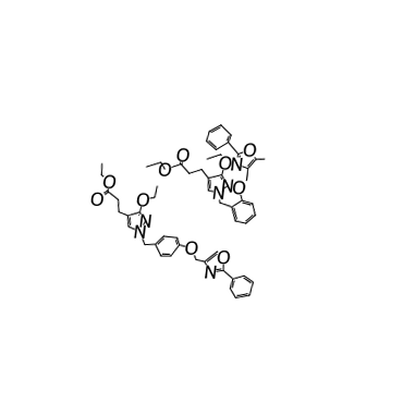 CCOC(=O)CCc1cn(Cc2ccc(OCc3coc(-c4ccccc4)n3)cc2)nc1OCC.CCOC(=O)CCc1cn(Cc2ccccc2OCc2nc(-c3ccccc3)oc2C)nc1OCC